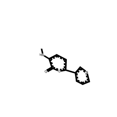 CNc1ccc(-c2cccnc2)oc1=O